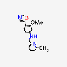 COc1cc(NCc2cccc(C)n2)ccc1-c1cnco1